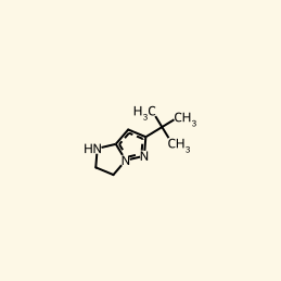 CC(C)(C)c1cc2n(n1)CCN2